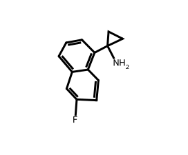 NC1(c2cccc3cc(F)ccc23)CC1